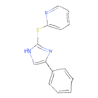 c1ccc(-c2c[nH]c(Sc3ccccn3)n2)cc1